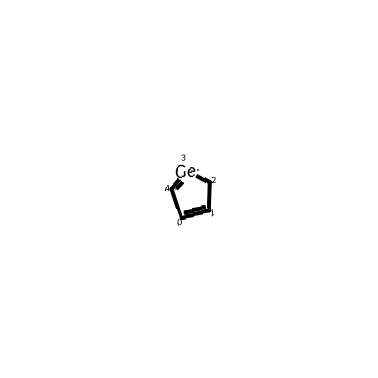 C1=C[CH2][Ge]=[CH]1